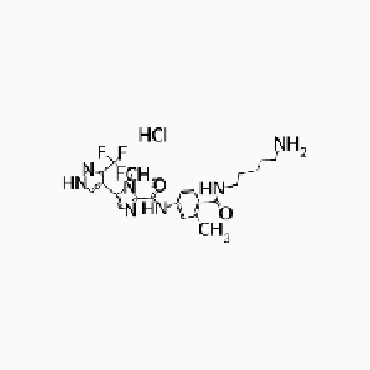 Cc1cc(NC(=O)c2ncc(-c3c[nH]nc3C(F)(F)F)n2C)ccc1C(=O)NCCCCCN.Cl